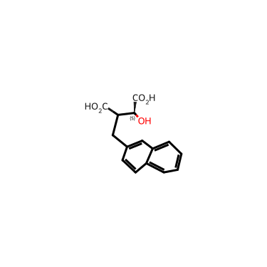 O=C(O)C(Cc1ccc2ccccc2c1)[C@H](O)C(=O)O